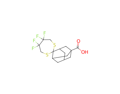 O=C(O)C12CC3CC(C1)C1(SCC(F)(F)C(F)(F)CS1)C(C3)C2